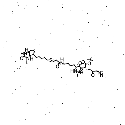 CC(=O)N[C@@H](CCCCNC(=O)CCSCCCCC[C@@H]1SC[C@@H]2NC(=O)N[C@@H]21)C(=O)N[C@@H](CCC(=O)C=[N+]=[N-])C(=O)OC(C)(C)C